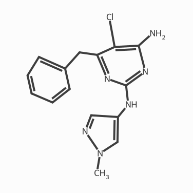 Cn1cc(Nc2nc(N)c(Cl)c(Cc3ccccc3)n2)cn1